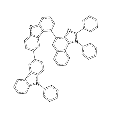 c1ccc(-c2nc3c(-c4cccc5sc6ccc(-c7ccc8c(c7)c7ccccc7n8-c7ccccc7)cc6c45)cc4ccccc4c3n2-c2ccccc2)cc1